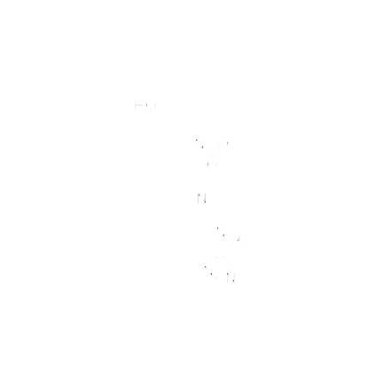 CCCCC1CN(CC2CCC(O)CC2)C(=O)OC12CCN(C1(C)CCN(C(=O)c3c(C)ncnc3C)CC1)CC2